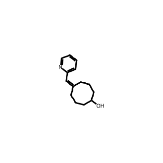 OC1CCCC(=Cc2ccccn2)CCC1